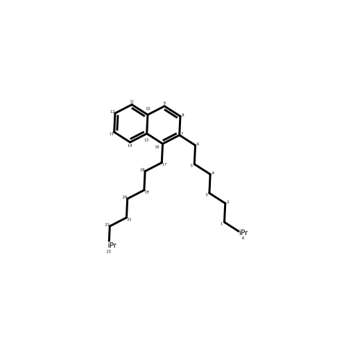 CC(C)CCCCCCc1ccc2ccccc2c1CCCCCCC(C)C